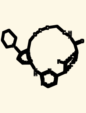 O=C1NCCCCOCc2cc(ccc2N2CCCCC2)Nc2nccc(n2)-c2ccc1cc2F